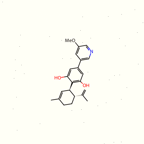 C=C(C)[C@@H]1CCC(C)=C[C@H]1c1c(O)cc(-c2cncc(OC)c2)cc1O